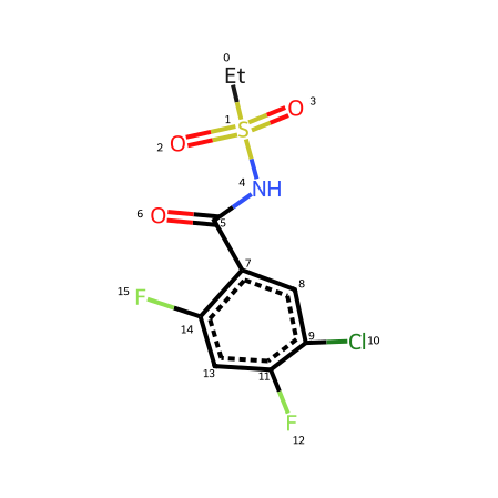 CCS(=O)(=O)NC(=O)c1cc(Cl)c(F)cc1F